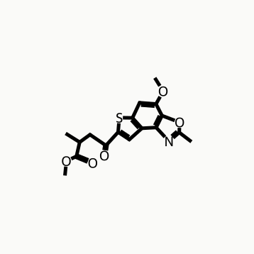 COC(=O)C(C)CC(=O)c1cc2c(cc(OC)c3oc(C)nc32)s1